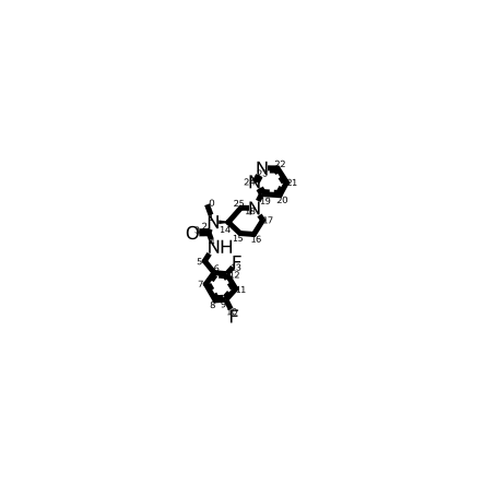 CN(C(=O)NCc1ccc(F)cc1F)[C@@H]1CCCN(c2cccnn2)C1